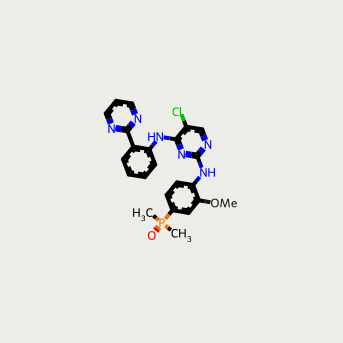 COc1cc(P(C)(C)=O)ccc1Nc1ncc(Cl)c(Nc2ccccc2-c2ncccn2)n1